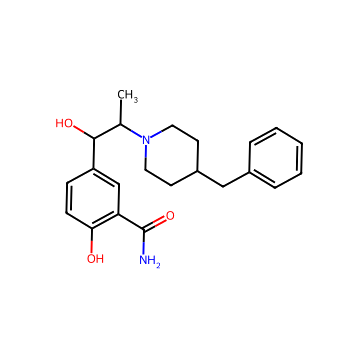 CC(C(O)c1ccc(O)c(C(N)=O)c1)N1CCC(Cc2ccccc2)CC1